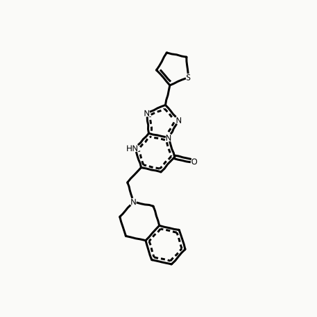 O=c1cc(CN2CCc3ccccc3C2)[nH]c2nc(C3=CCCS3)nn12